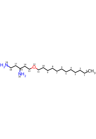 CCCCCCCCCCCCOCCC(N)CCN